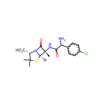 CC1(C)S[C@H]2N(C(=O)[C@]2(C)NC(=O)C(N)c2ccc(Cl)cc2)[C@H]1C(=O)O